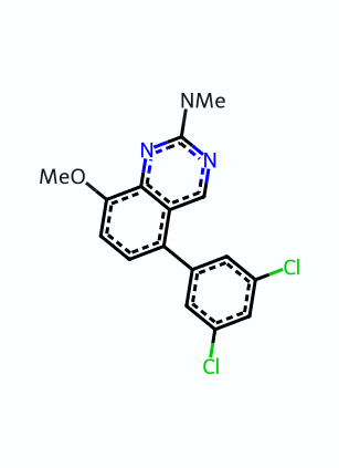 CNc1ncc2c(-c3cc(Cl)cc(Cl)c3)ccc(OC)c2n1